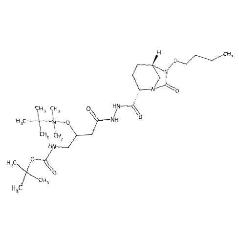 CCCCON1C(=O)N2C[C@@H]1CC[C@H]2C(=O)NNC(=O)CC(CNC(=O)OC(C)(C)C)O[Si](C)(C)C(C)(C)C